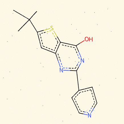 CC(C)(C)c1cc2nc(-c3ccncc3)nc(O)c2s1